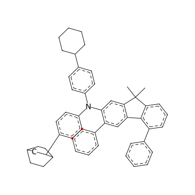 CC1(C)c2cc(N(c3ccc(C4CCCCC4)cc3)c3ccc(C4CC5CCC4CC5)cc3)c(-c3ccccc3)cc2-c2c(-c3ccccc3)cccc21